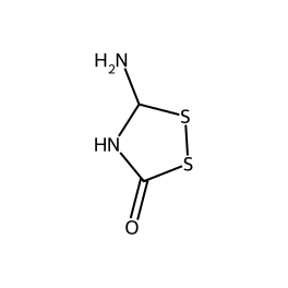 NC1NC(=O)SS1